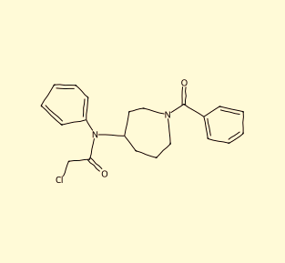 O=C(c1ccccc1)N1CCCC(N(C(=O)CCl)c2ccccc2)CC1